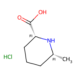 C[C@@H]1CCC[C@H](C(=O)O)N1.Cl